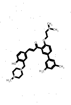 Cc1cc(C)cc(-c2ccc(OCCN(C)C)c(C(=O)C=Cc3ccc(O)c(CN4CCN(C)CC4)c3)c2)c1